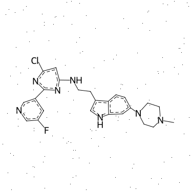 CN1CCN(c2ccc3c(CCNc4cc(Cl)nc(-c5cncc(F)c5)n4)c[nH]c3c2)CC1